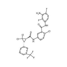 Nc1c(F)ccc(NC(=O)c2cc(NC(=O)[C@H]3[C@H](c4cccc(C(F)(F)F)c4)C3(Cl)Cl)ccc2Cl)c1F